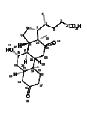 C[C@H](CCC(=O)O)[C@H]1CC[C@H]2[C@@H]3[C@@H](O)C[C@@H]4CC(=O)CC[C@]4(C)[C@H]3CC(=O)[C@]12C